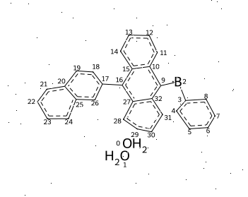 O.O.[B](c1ccccc1)c1c2ccccc2c(-c2ccc3ccccc3c2)c2ccccc12